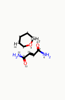 C1CC[SiH2]OC1.NC(=O)/C=C/C(N)=O.[H+]